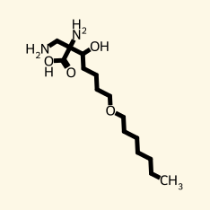 CCCCCCCOCCCCC(O)C(N)(CN)C(=O)O